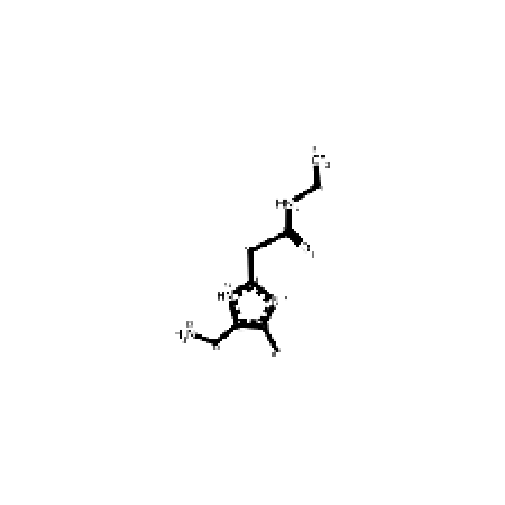 Cc1nc(CC(=O)NCC(F)(F)F)[nH]c1CN